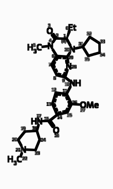 CC[C@@H]1C(=O)N(C)c2ccc(Nc3ccc(C(=O)NC4CCN(C)CC4)cc3OC)nc2N1C1CCCC1